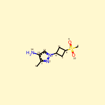 Cc1nn(C2CC(S(C)(=O)=O)C2)cc1N